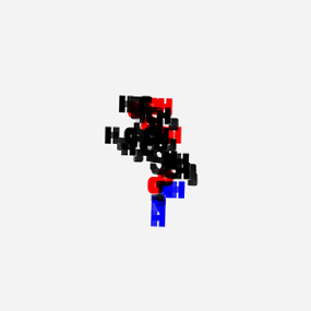 CCO[C@@H]([C@H]1C[C@@H](C)[C@H]2[C@H](O1)[C@H](O)[C@@]1(C)[C@@H]3CC[C@H]4C(C)(C)[C@@H](OC(=O)NC5CNC5)CC[C@@]45C[C@@]35CC[C@]21C)C(C)(C)O